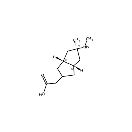 CN[C@]1(C)C[C@H]2CC(CC(=O)O)C[C@H]2C1